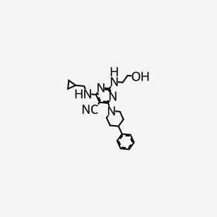 N#Cc1c(NCC2CC2)nc(NCCO)nc1N1CCC(c2ccccc2)CC1